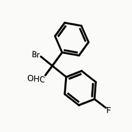 O=CC(Br)(c1ccccc1)c1ccc(F)cc1